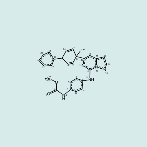 CC(C)(C)OC(=O)Nc1ccc(Nc2nc(C3(F)C=CC(c4ccccc4)C=C3)cc3ccnn23)cc1